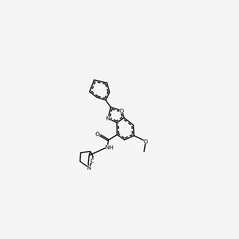 COc1cc(C(=O)NC2CN3CCC2CC3)c2nc(-c3ccccc3)oc2c1